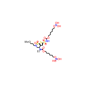 CCN(C(=O)OCCCCCCON(O)O)[C@H]1CN(CCCOC)S(=O)(=O)c2sc(S(=O)(=O)NC(=O)OCCCCCCON(O)O)cc21